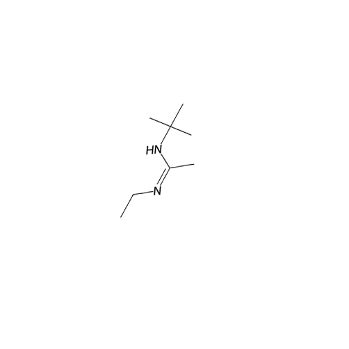 CCN=C(C)NC(C)(C)C